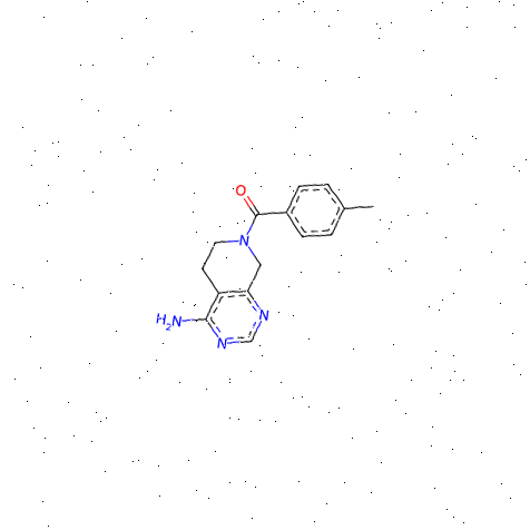 Cc1ccc(C(=O)N2CCc3c(N)ncnc3C2)cc1